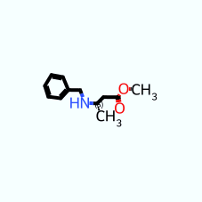 COC(=O)C[C@H](C)NCc1ccccc1